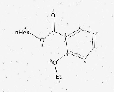 CCCCCCOC(=O)c1ccccc1OCC